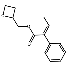 CC=C(C(=O)OCC1CCO1)c1ccccc1